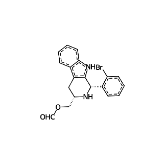 O=COC[C@@H]1Cc2c([nH]c3ccccc23)[C@H](c2ccccc2Br)N1